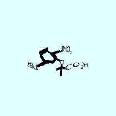 CC(C)(Oc1cc(C(C)(C)C)ccc1[N+](=O)[O-])C(=O)O